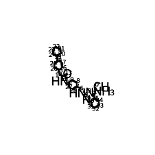 CNc1nc(NCc2ccc(NC(=O)Cc3ccc(-c4ccccc4)cc3)cc2)nc2ccccc12